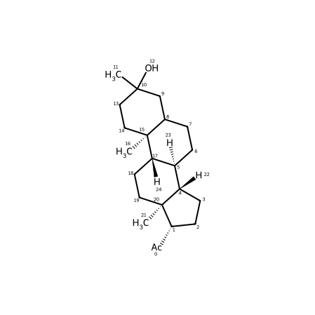 CC(=O)[C@H]1CC[C@H]2[C@@H]3CCC4CC(C)(O)CC[C@]4(C)[C@H]3CC[C@]12C